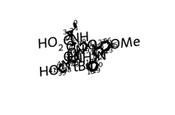 C=C[C@@H]1C[C@]1(NC(=O)[C@@H]1C[C@@H](Oc2cc(-c3ccccc3)nc3cc(OC)ccc23)CN1C(=O)N[C@H](C(=O)N1CC[C@@H](O)C1)C(C)(C)C)C(=O)O